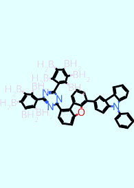 Bc1c(B)c(B)c(-c2nc(-c3c(B)c(B)c(B)c(B)c3B)nc(-c3cccc4oc5c(-c6ccc7c(c6)c6ccccc6n7-c6ccccc6)cccc5c34)n2)c(B)c1B